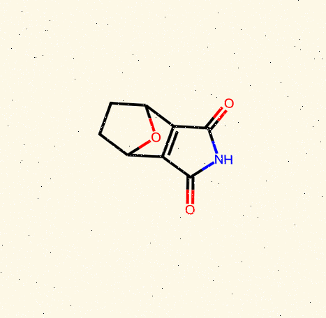 O=C1NC(=O)C2=C1C1CCC2O1